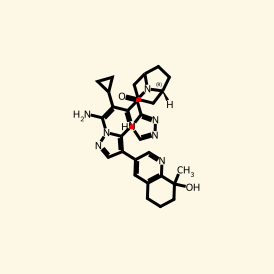 CC1(O)CCCc2cc(-c3cnn4c(N)c(C5CC5)c(C5CC6CC[C@H](C5)N6C(=O)c5nnc[nH]5)nc34)cnc21